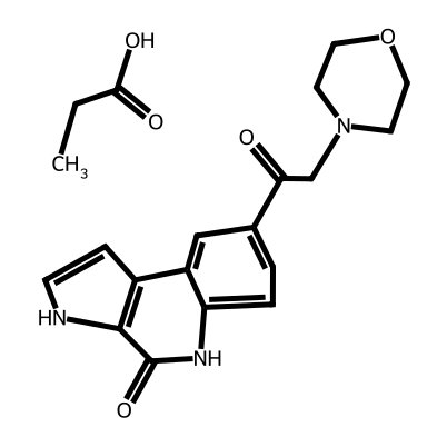 CCC(=O)O.O=C(CN1CCOCC1)c1ccc2[nH]c(=O)c3[nH]ccc3c2c1